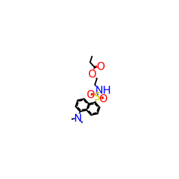 CCC(=O)OCCNS(=O)(=O)c1cccc2c(N(C)C)cccc12